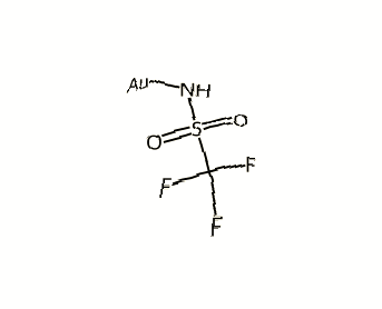 O=S(=O)([NH][Au])C(F)(F)F